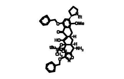 CCN1CCC[C@H]1c1cc(OCc2ccccc2)c2c(c1OC)C[C@H]1C[C@H]3[C@H](N)c4onc(OCc5ccccc5)c4C(=O)C3(O[Si](C)(C)C(C)(C)C)C(O)=C1C2=O